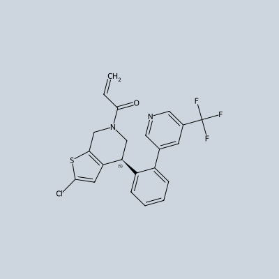 C=CC(=O)N1Cc2sc(Cl)cc2[C@H](c2ccccc2-c2cncc(C(F)(F)F)c2)C1